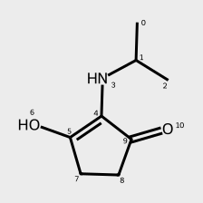 CC(C)NC1=C(O)CCC1=O